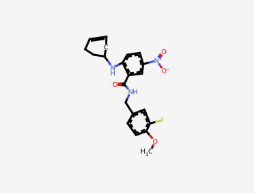 COc1ccc(CNC(=O)c2cc([N+](=O)[O-])ccc2NC2CC=CCC2)cc1F